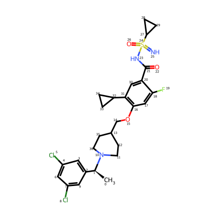 C[C@@H](c1cc(Cl)cc(Cl)c1)N1CCC(COc2cc(F)c(C(=O)NS(=N)(=O)C3CC3)cc2C2CC2)CC1